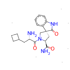 NC(=O)[C@@H]1C[C@@]2(CN1C(=O)[C@@H](N)CC1CCC1)C(=O)Nc1ccccc12